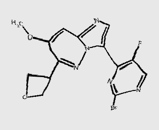 COc1cc2ncc(-c3nc(Br)ncc3F)n2nc1C1COC1